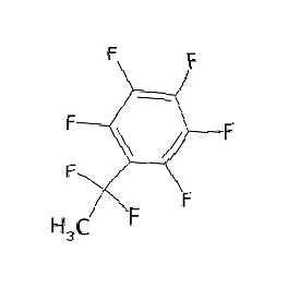 CC(F)(F)c1c(F)c(F)c(F)c(F)c1F